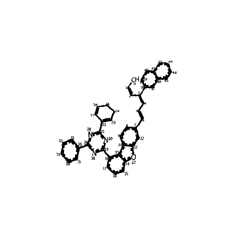 C\C=C/C(=C\C=C\c1ccc2c(c1)oc1cccc(-c3nc(C4=CCCC=C4)nc(-c4ccccc4)n3)c12)c1ccc2ccccc2c1